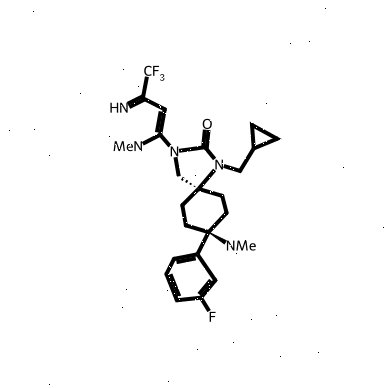 CN/C(=C\C(=N)C(F)(F)F)N1C[C@]2(CC[C@@](NC)(c3cccc(F)c3)CC2)N(CC2CC2)C1=O